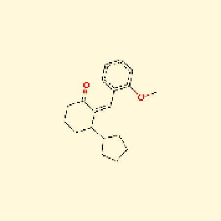 COc1ccccc1C=C1C(=O)CCCC1C1CCCC1